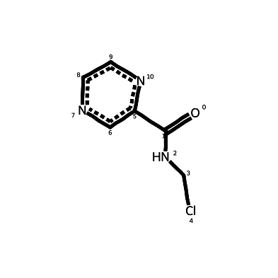 O=C(NCCl)c1cnccn1